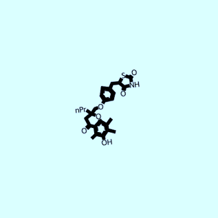 CCCC1(COc2ccc(CC3SC(=O)NC3=O)cc2)CC(=O)c2c(C)c(O)c(C)c(C)c2O1